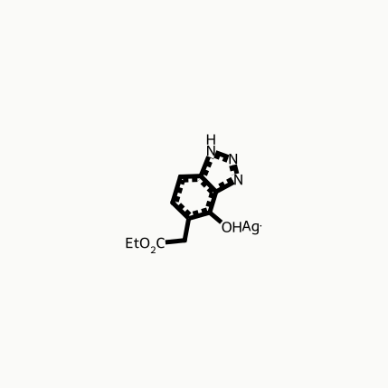 CCOC(=O)Cc1ccc2[nH]nnc2c1O.[Ag]